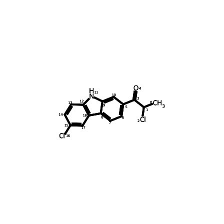 CC(Cl)C(=O)c1ccc2c(c1)[nH]c1ccc(Cl)cc12